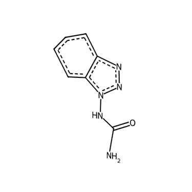 NC(=O)Nn1nnc2ccccc21